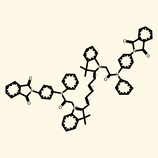 CC1(C)C(/C=C/C=C/C=C2/N(CC(=O)N(c3ccccc3)c3ccc(N4C(=O)c5ccccc5C4=O)cc3)c3ccccc3C2(C)C)=[N+](CC(=O)N(c2ccccc2)c2ccc(N3C(=O)c4ccccc4C3=O)cc2)c2ccccc21